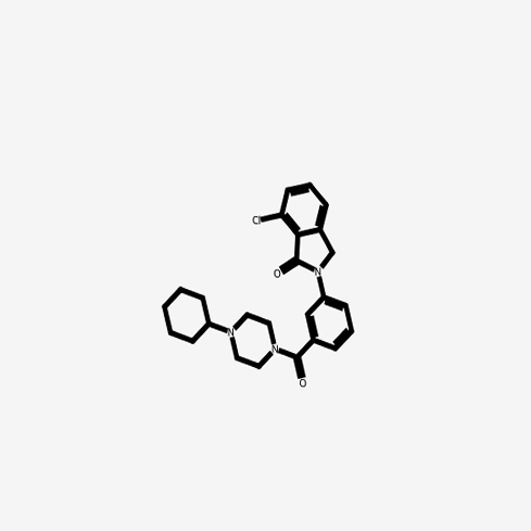 O=C(c1cccc(N2Cc3cccc(Cl)c3C2=O)c1)N1CCN(C2CCCCC2)CC1